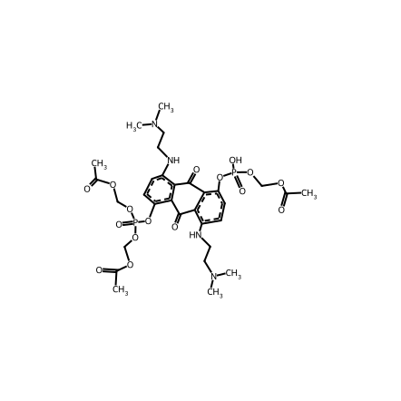 CC(=O)OCOP(=O)(O)Oc1ccc(NCCN(C)C)c2c1C(=O)c1c(NCCN(C)C)ccc(OP(=O)(OCOC(C)=O)OCOC(C)=O)c1C2=O